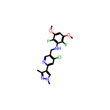 COc1cc(OC)c(F)c(NCc2cnc(-c3cn(C)nc3C)cc2Cl)c1F